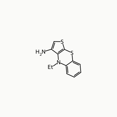 CCN1c2ccccc2Sc2scc(N)c21